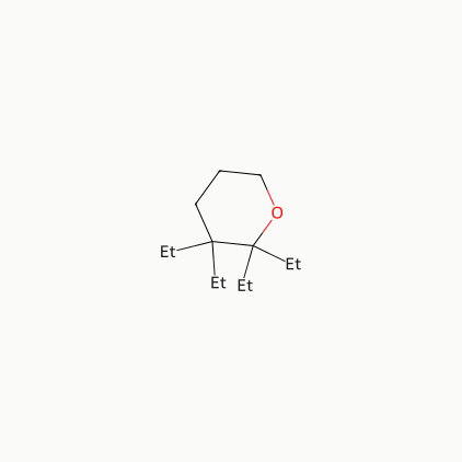 [CH2]CC1(C[CH2])CCCOC1(C[CH2])C[CH2]